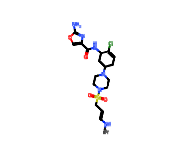 CC(C)N/C=C/CS(=O)(=O)N1CCN(C2CC=C(Cl)C(NC(=O)c3coc(N)n3)C2)CC1